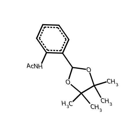 CC(=O)Nc1ccccc1C1OC(C)(C)C(C)(C)O1